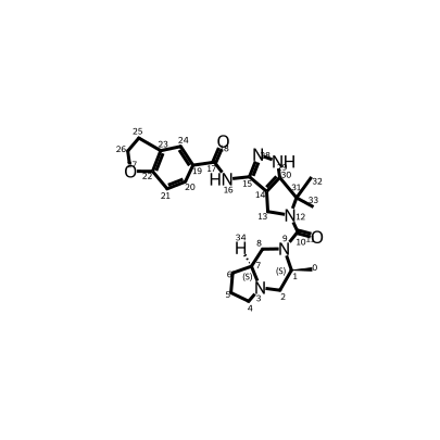 C[C@H]1CN2CCC[C@H]2CN1C(=O)N1Cc2c(NC(=O)c3ccc4c(c3)CCO4)n[nH]c2C1(C)C